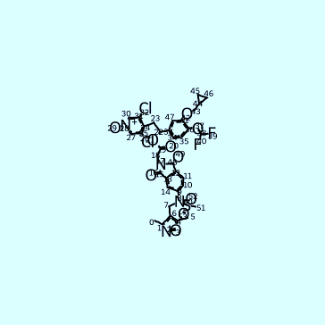 Cc1noc(C)c1CN(c1ccc2c(c1)C(=O)N(CC(=O)OC(Cc1c(Cl)c[n+]([O-])cc1Cl)c1ccc(OC(F)F)c(OCC3CC3)c1)C2=O)S(C)(=O)=O